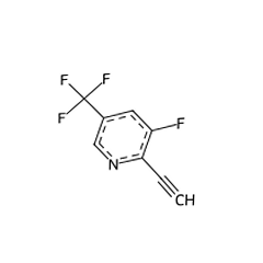 C#Cc1ncc(C(F)(F)F)cc1F